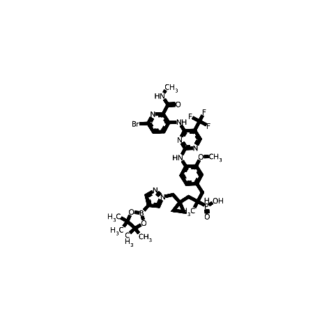 CNC(=O)c1nc(Br)ccc1Nc1nc(Nc2ccc(CC(C)(CC3(Cn4cc(B5OC(C)(C)C(C)(C)O5)cn4)CC3)[PH](=O)O)cc2OC)ncc1C(F)(F)F